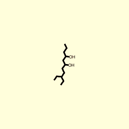 CCCC(O)CC(O)CCC(CC)CC